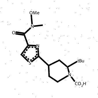 CON(C)C(=O)c1csc(C2CCN(C(=O)O)C(C(C)(C)C)C2)n1